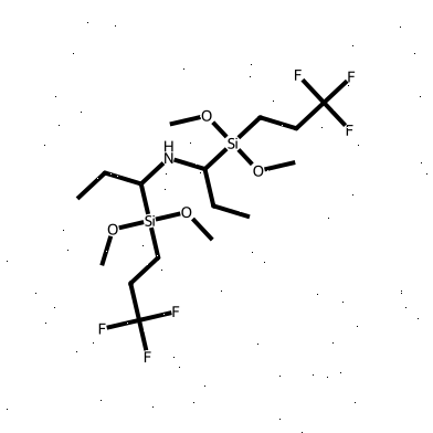 CCC(NC(CC)[Si](CCC(F)(F)F)(OC)OC)[Si](CCC(F)(F)F)(OC)OC